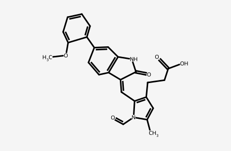 COc1ccccc1-c1ccc2c(c1)NC(=O)C2=Cc1c(CCC(=O)O)cc(C)n1C=O